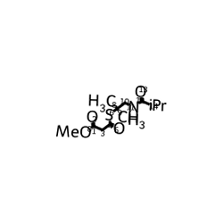 COC(=O)CC(=O)SC(C)(C)CNC(=O)C(C)C